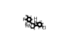 Cc1ccc(C2NCCc3c2[nH]c2ccc(Cl)cc32)c(F)c1F